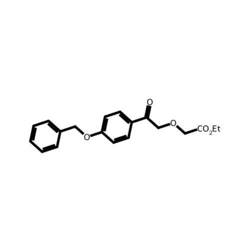 CCOC(=O)COCC(=O)c1ccc(OCc2ccccc2)cc1